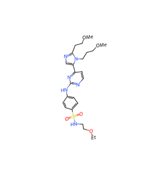 CCOCCNS(=O)(=O)c1ccc(Nc2nccc(-c3cnc(CCOC)n3CCCOC)n2)cc1